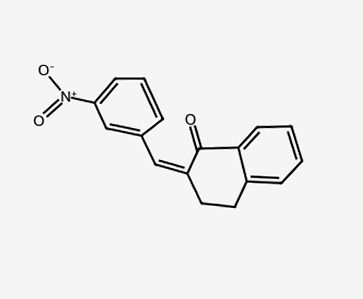 O=C1C(=Cc2cccc([N+](=O)[O-])c2)CCc2ccccc21